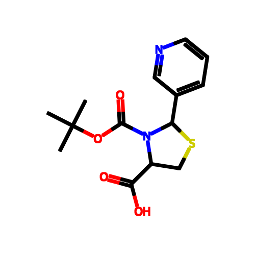 CC(C)(C)OC(=O)N1C(C(=O)O)CSC1c1cccnc1